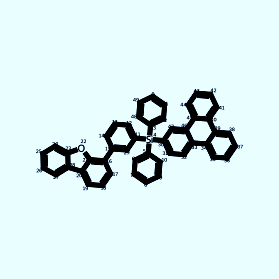 c1ccc([Si](c2ccccc2)(c2cccc(-c3cccc4c3oc3ccccc34)c2)c2ccc3c4ccccc4c4ccccc4c3c2)cc1